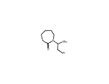 CC(C)CC(N1CCCCCC1=O)C(C)(C)C